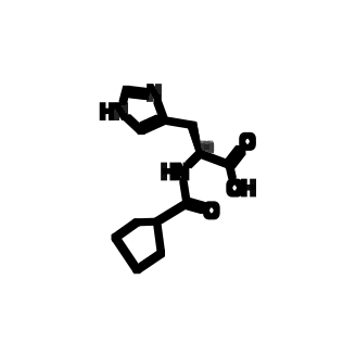 O=C(N[C@@H](Cc1c[nH]cn1)C(=O)O)C1CCCC1